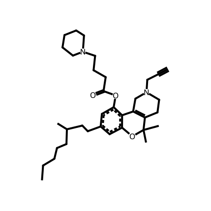 C#CCN1CCC2=C(C1)c1c(OC(=O)CCCN3CCCCC3)cc(CCC(C)CCCCC)cc1OC2(C)C